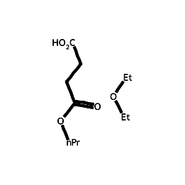 CCCOC(=O)CCC(=O)O.CCOCC